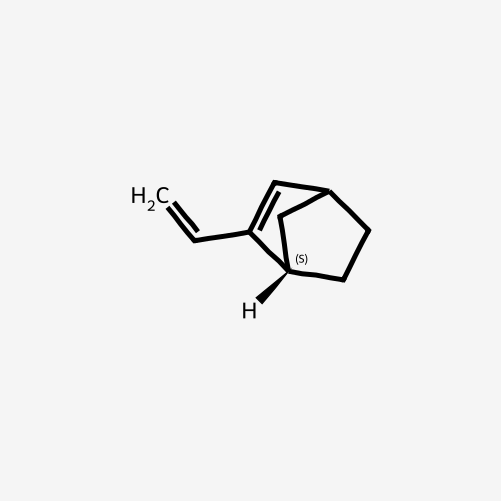 C=CC1=CC2CC[C@H]1C2